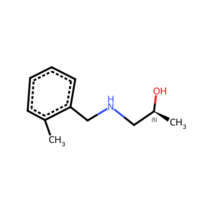 Cc1ccccc1CNC[C@H](C)O